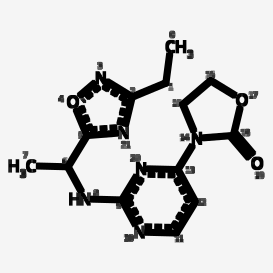 CCc1noc(C(C)Nc2nccc(N3CCOC3=O)n2)n1